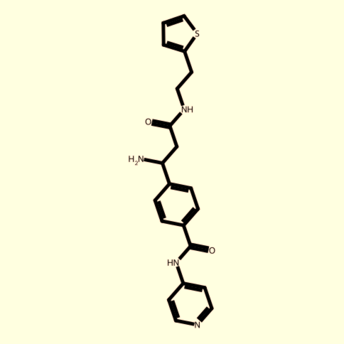 NC(CC(=O)NCCc1cccs1)c1ccc(C(=O)Nc2ccncc2)cc1